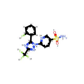 NS(=O)(=O)c1ccc(-n2nc(C(F)(F)F)nc2-c2ccccc2F)nc1